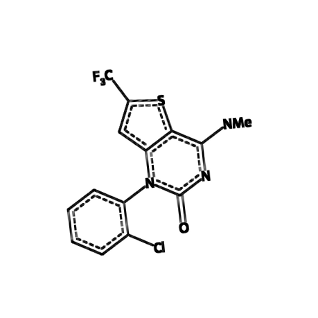 CNc1nc(=O)n(-c2ccccc2Cl)c2cc(C(F)(F)F)sc12